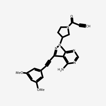 C#CC(=O)N1CCC(n2nc(C#Cc3cc(OC)cc(OC)c3)c3c(N)ncnc32)C1